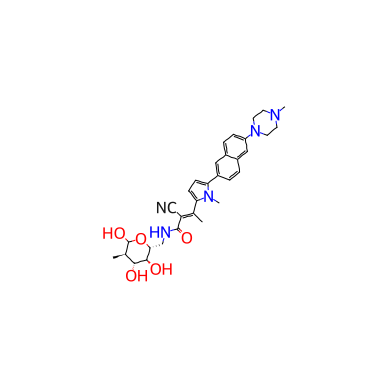 C/C(=C(/C#N)C(=O)NC[C@H]1OC(O)[C@H](C)[C@@H](O)[C@@H]1O)c1ccc(-c2ccc3cc(N4CCN(C)CC4)ccc3c2)n1C